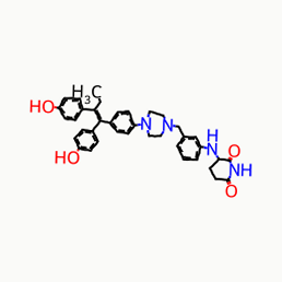 CCC(=C(c1ccc(O)cc1)c1ccc(N2CCN(Cc3cccc(NC4CCC(=O)NC4=O)c3)CC2)cc1)c1ccc(O)cc1